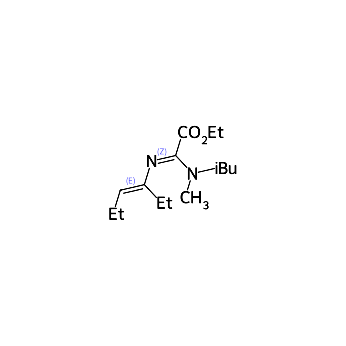 CC/C=C(CC)/N=C(/C(=O)OCC)N(C)C(C)CC